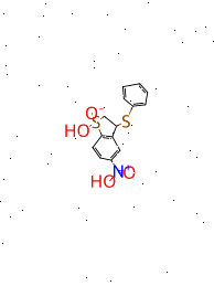 O=[N+](O)c1ccc2c(c1)C(Sc1ccccc1)CS2([O-])O